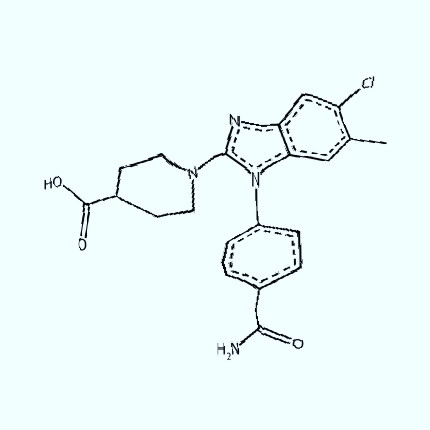 Cc1cc2c(cc1Cl)nc(N1CCC(C(=O)O)CC1)n2-c1ccc(C(N)=O)cc1